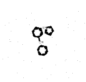 Oc1ccccc1.c1cc[nH]c1.c1ccccc1